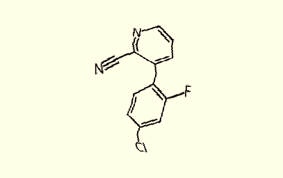 N#Cc1ncccc1-c1ccc(Cl)cc1F